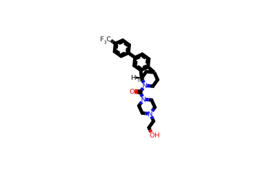 O=C(N1CCN(CCO)CC1)N1CCC2C[C@H]1c1cc(-c3ccc(C(F)(F)F)cc3)ccc12